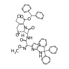 CO/N=C(\C(=O)NC1C(=O)N2C(C(=O)OC(c3ccccc3)c3ccccc3)=C(CCl)C[S+]([O-])[C@H]12)c1csc(NC(c2ccccc2)(c2ccccc2)c2ccccc2)n1